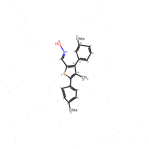 COc1ccc(-c2sc(C=NO)c(-c3cccc(OC)c3)c2C)cc1